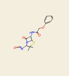 CC1(C)SC2C(NC(=O)COc3ccccc3)C(=O)N2C1N=C=O